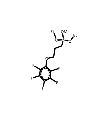 CCO[Si](CCCOc1c(F)c(F)c(F)c(F)c1F)(OC)OCC